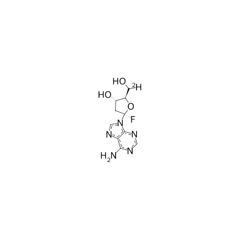 [2H]C(O)[C@H]1O[C@@](F)(n2cnc3c(N)ncnc32)C[C@@H]1O